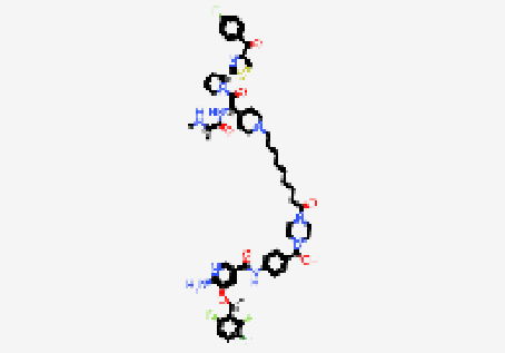 CN[C@H](C)C(=O)N[C@@H](C(=O)N1CCC[C@@H]1C1=NC(C(=O)c2ccc(F)cc2)CS1)C1CCN(CCCCCCCCC(=O)N2CCN(C(O)c3ccc(NC(=O)c4cnc(N)c(O[C@H](C)c5c(F)ccc(Cl)c5F)c4)cc3)CC2)CC1